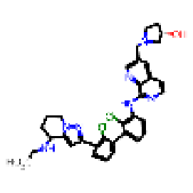 O=C(O)CNC1CCCn2nc(-c3cccc(-c4cccc(Nc5nccc6cc(CN7CC[C@@H](O)C7)cnc56)c4Cl)c3Cl)cc21